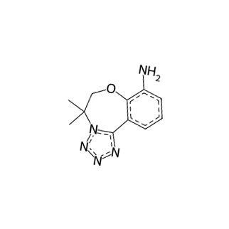 CC1(C)COc2c(N)cccc2-c2nnnn21